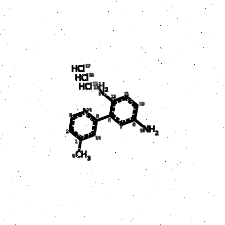 Cc1ccnc(-c2cc(N)ccc2N)c1.Cl.Cl.Cl